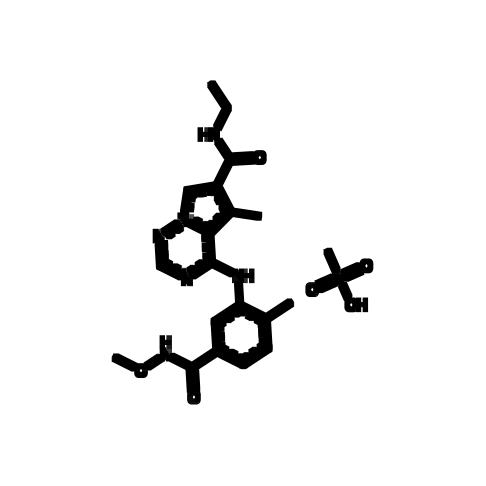 CCNC(=O)c1cn2ncnc(Nc3cc(C(=O)NOC)ccc3C)c2c1C.CS(=O)(=O)O